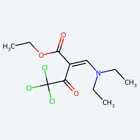 CCOC(=O)C(=CN(CC)CC)C(=O)C(Cl)(Cl)Cl